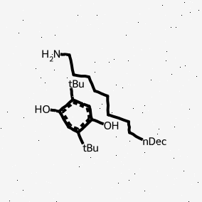 CC(C)(C)c1cc(O)c(C(C)(C)C)cc1O.CCCCCCCCCCCCCCCCCCN